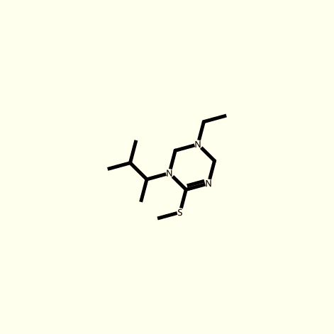 CCN1CN=C(SC)N(C(C)C(C)C)C1